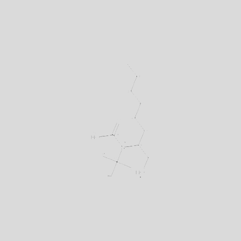 CCCCCCC(CO)N(C(=O)O)C(C)(C)C